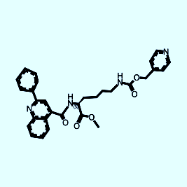 COC(=O)[C@H](CCCCNC(=O)OCc1ccncc1)NC(=O)c1cc(-c2ccccc2)nc2ccccc12